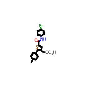 Cc1ccc(-c2sc(C(=O)Nc3ccc(Br)cc3)cc2CC(=O)O)cc1